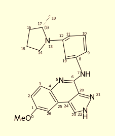 COc1ccc2nc(Nc3cccc(N4CCC[C@@H]4C)c3)c3n[nH]cc3c2c1